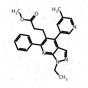 CCn1ncc2c(-c3cncc(C)c3)c(CCC(=O)OC)c(-c3ccccc3)nc21